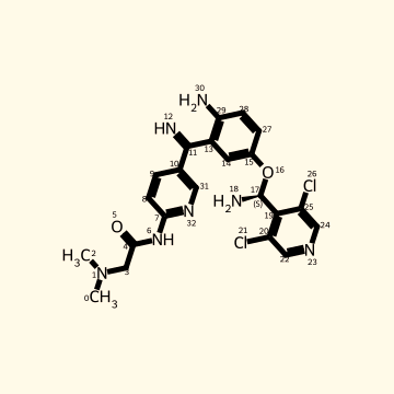 CN(C)CC(=O)Nc1ccc(C(=N)c2cc(O[C@H](N)c3c(Cl)cncc3Cl)ccc2N)cn1